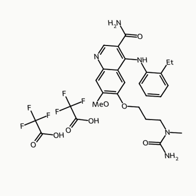 CCc1ccccc1Nc1c(C(N)=O)cnc2cc(OC)c(OCCCN(C)C(N)=O)cc12.O=C(O)C(F)(F)F.O=C(O)C(F)(F)F